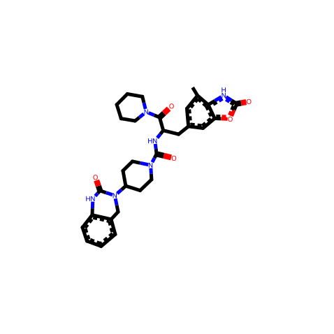 Cc1cc(CC(NC(=O)N2CCC(N3Cc4ccccc4NC3=O)CC2)C(=O)N2CCCCC2)cc2oc(=O)[nH]c12